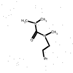 CC(C)CCN(C)C(=O)N(C)C